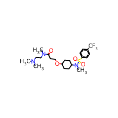 CN(C)CCN(C)C(=O)CCOC1CCC(N(C)S(=O)(=O)c2ccc(C(F)(F)F)cc2)CC1